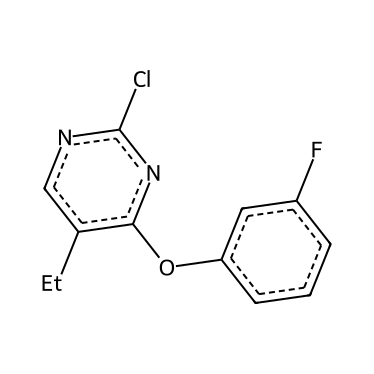 CCc1cnc(Cl)nc1Oc1cccc(F)c1